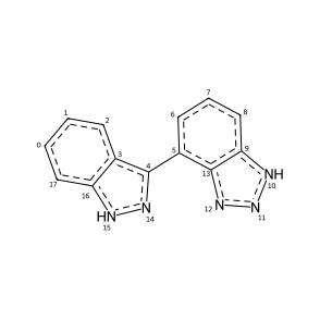 c1ccc2c(-c3cccc4[nH]nnc34)n[nH]c2c1